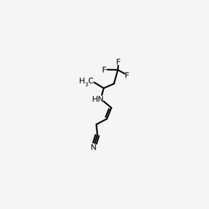 CC(CC(F)(F)F)N/C=C\CC#N